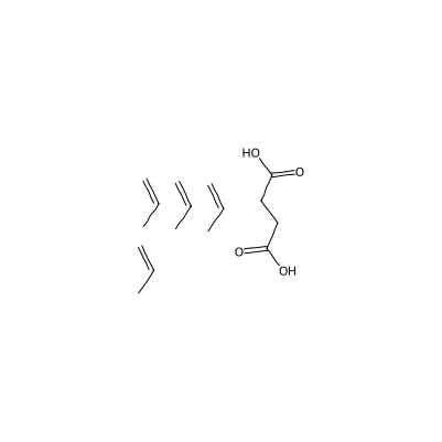 C=CC.C=CC.C=CC.C=CC.O=C(O)CCC(=O)O